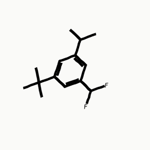 CC(C)c1cc(C(F)F)cc(C(C)(C)C)c1